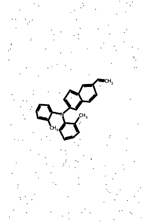 C=Cc1ccc2cc(N(c3ccccc3C)c3ccccc3C)ccc2c1